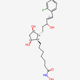 O=C(CCCCCC[C@@H]1[C@@H](CCC(O)/C=C/c2ccccc2F)[C@H](O)C[C@@H]1O)NO